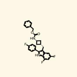 O=C(N[C@H]1C[C@@H](Cc2c(-c3ccc(F)cc3)[nH]c3c(F)cc(F)cc23)C1)OCc1ccccc1